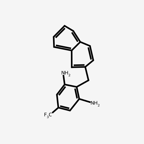 Nc1cc(C(F)(F)F)cc(N)c1Cc1ccc2ccccc2c1